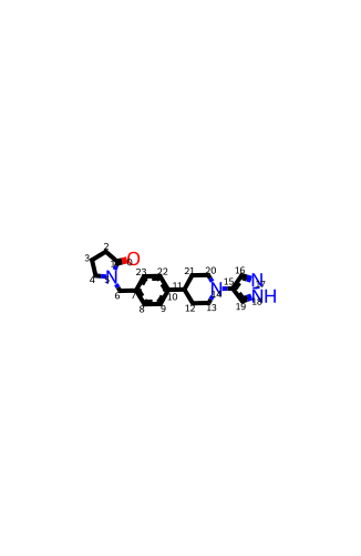 O=C1CCCN1Cc1ccc(C2CCN(c3cn[nH]c3)CC2)cc1